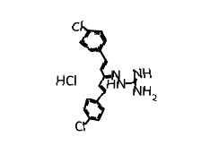 Cl.N=C(N)NN=C(/C=C/c1ccc(Cl)cc1)/C=C/c1ccc(Cl)cc1